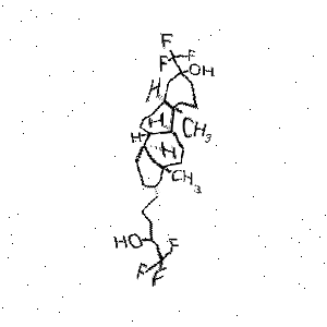 C[C@]12CC[C@@](O)(C(F)(F)F)C[C@@H]1CC[C@@H]1[C@@H]2CC[C@]2(C)[C@H](CCCC(O)C(F)(F)F)CC[C@@H]12